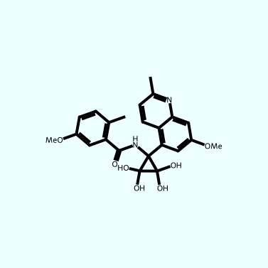 COc1ccc(C)c(C(=O)NC2(c3cc(OC)cc4nc(C)ccc34)C(O)(O)C2(O)O)c1